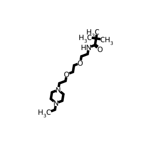 CCN1CCN(CCOCCOCCNC(=O)C(C)(C)C)CC1